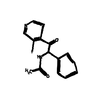 CC(=O)NC(C(=O)c1ccncc1F)c1ccccc1